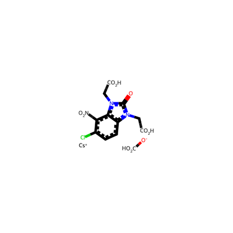 O=C(O)Cn1c(=O)n(CC(=O)O)c2c([N+](=O)[O-])c(Cl)ccc21.O=C([O-])O.[Cs+]